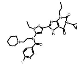 CCCn1c(=O)n(C2CC2)c(=O)c2[nH]c(-c3cc(N(CCN4CCCCC4)C(=O)c4ccc(F)nc4)n(CC)n3)nc21